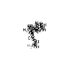 CCc1cccc(C)c1N(C(=O)CCl)C(C)COC.CS(=O)(=O)c1cc(C(F)(F)F)ccc1C(=O)c1cnoc1C1CC1.C[C@H](OC(=O)c1cc(Oc2ccc(C(F)(F)F)cc2Cl)ccc1Cl)C(=O)O.O=C(O)CNCP(=O)(O)O